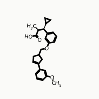 COc1cccc(C2=CCC(COc3cccc([C@H](C4CC4)[C@H](C)C(=O)O)c3)C2)c1